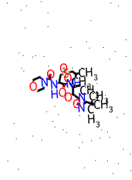 CCC(NC(=O)C(CS(=O)(=O)CC(C)C)NC(=O)N1CCOCC1)C(=O)c1nc(C(C)(C)C)no1